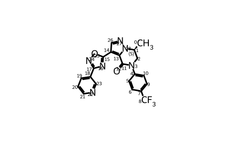 C[C@H]1CN(c2ccc(C(F)(F)F)cc2)C(=O)c2c(-c3nc(-c4cccnc4)no3)cnn21